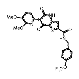 COc1ccc(-n2c(=O)[nH]c3cc(C(=O)NCc4ccc(OC(F)(F)F)cc4)sc3c2=O)nc1OC